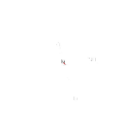 CN1C(=O)C2(N=C1N)c1cc(Br)ccc1CC21CCCCC1